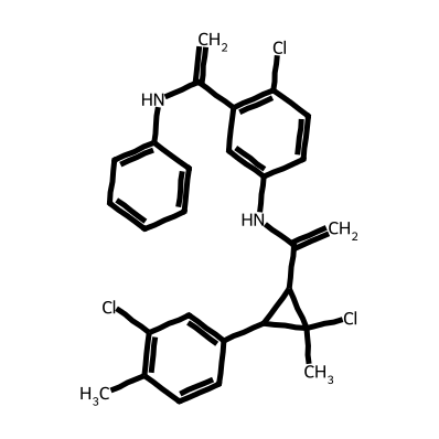 C=C(Nc1ccccc1)c1cc(NC(=C)C2C(c3ccc(C)c(Cl)c3)C2(C)Cl)ccc1Cl